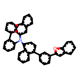 c1ccc(-c2ccccc2N(c2ccc3ccccc3c2)c2ccc(-c3cccc(-c4cc5ccccc5o4)c3)c3ccccc23)cc1